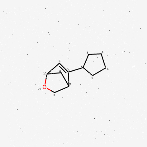 C1=C(C2CCCC2)C2COC1C2